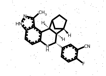 Cc1n[nH]c2ccc3c(c12)[C@H]1C2CC[C@@H](C2)[C@H]1[C@H](c1ccc(F)c(C#N)c1)N3